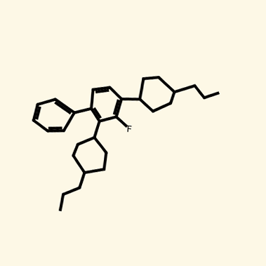 CCCC1CCC(c2ccc(-c3ccccc3)c(C3CCC(CCC)CC3)c2F)CC1